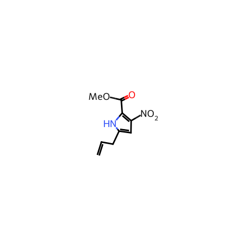 C=CCc1cc([N+](=O)[O-])c(C(=O)OC)[nH]1